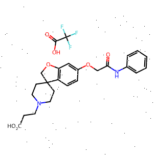 O=C(O)C(F)(F)F.O=C(O)CCN1CCC2(CC1)COc1cc(OCC(=O)Nc3ccccc3)ccc12